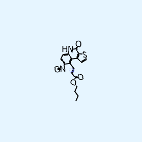 CCCCOC(=O)/C=C/c1c(N=O)ccc2[nH]c(=O)c3sccc3c12